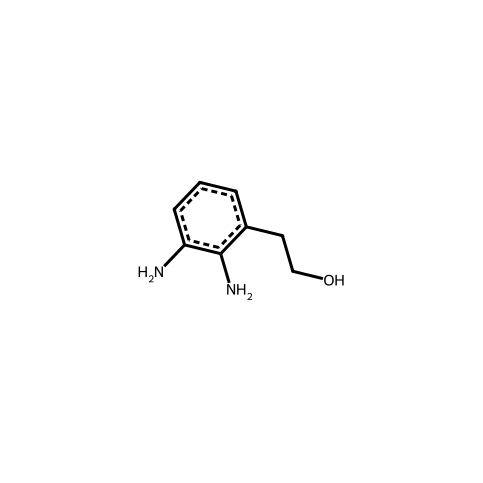 Nc1cccc(CCO)c1N